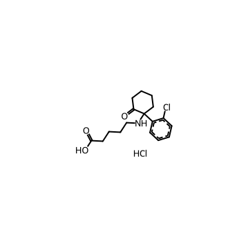 Cl.O=C(O)CCCCNC1(c2ccccc2Cl)CCCCC1=O